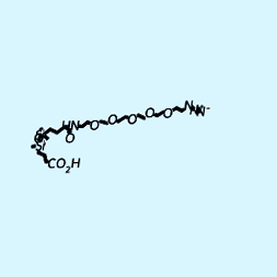 C[Si](C)(CCCC(=O)O)O[Si](C)(C)CCCC(=O)NCCOCCOCCOCCOCCOCCN=[N+]=[N-]